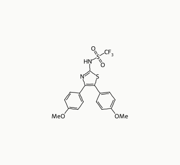 COc1ccc(-c2nc(NS(=O)(=O)C(F)(F)F)sc2-c2ccc(OC)cc2)cc1